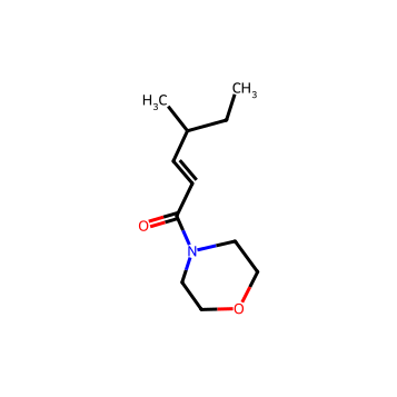 CCC(C)/C=C/C(=O)N1CCOCC1